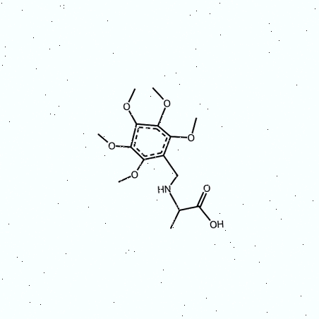 COc1c(CNC(C)C(=O)O)c(OC)c(OC)c(OC)c1OC